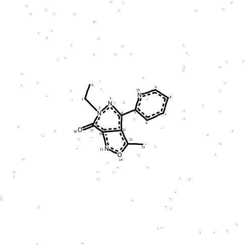 CCn1nc(-c2ccccn2)c2c(C)onc2c1=O